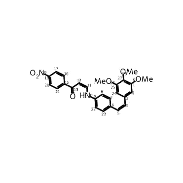 COc1cc(/C=C\c2ccc(N/C=C\C(=O)c3ccc([N+](=O)[O-])cc3)cc2)cc(OC)c1OC